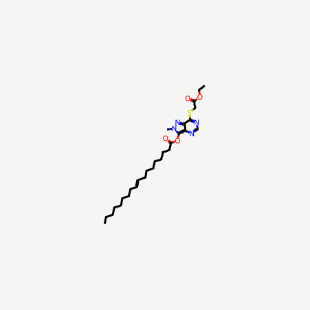 CCCCCCCCC=CCCCCCCCC(=O)Oc1c2ncnc(SCC(=O)OCC)c2nn1C